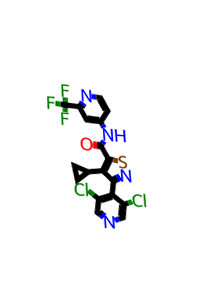 O=C(Nc1ccnc(C(F)(F)F)c1)c1snc(-c2c(Cl)cncc2Cl)c1C1CC1